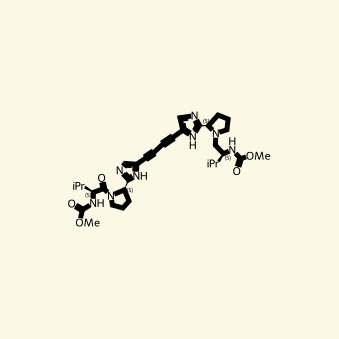 COC(=O)N[C@H](C(=O)N1CCC[C@H]1c1ncc(C#CC#Cc2cnc([C@@H]3CCCN3C[C@@H](NC(=O)OC)C(C)C)[nH]2)[nH]1)C(C)C